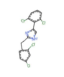 Clc1ccc(Cc2nc(-c3c(Cl)cccc3Cl)c[nH]2)c(Cl)c1